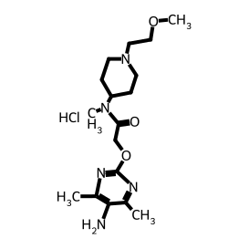 COCCN1CCC(N(C)C(=O)COc2nc(C)c(N)c(C)n2)CC1.Cl